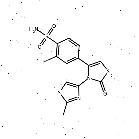 Cc1nc(-n2c(-c3ccc(S(N)(=O)=O)c(F)c3)csc2=O)cs1